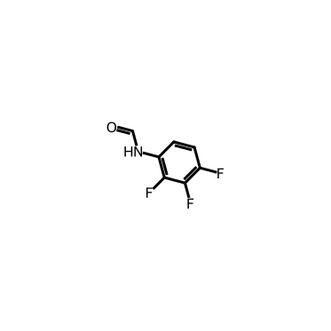 O=CNc1ccc(F)c(F)c1F